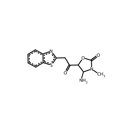 CN1C(=O)OC(C(=O)Cc2nc3ccccc3s2)C1N